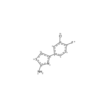 Nc1nc(-c2ccc(F)c(Cl)c2)cs1